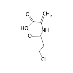 C=C(NC(=O)CCCl)C(=O)O